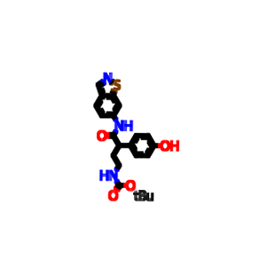 CC(C)(C)OC(=O)NCCC(C(=O)Nc1ccc2cnsc2c1)c1ccc(O)cc1